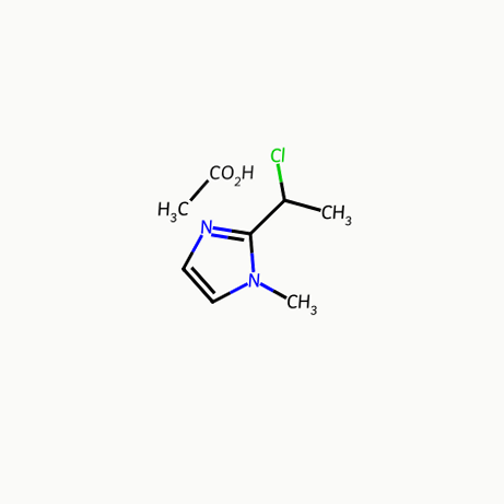 CC(=O)O.CC(Cl)c1nccn1C